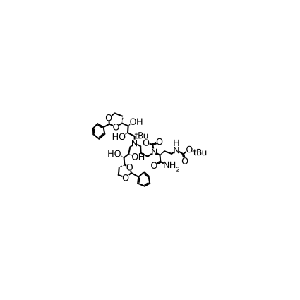 CC(C)(C)OC(=O)NCC[C@@H](C(N)=O)N(CCCN(C[C@H](O)[C@@H](O)[C@H]1CCOC(c2ccccc2)O1)C[C@H](O)[C@@H](O)[C@H]1CCOC(c2ccccc2)O1)C(=O)OC(C)(C)C